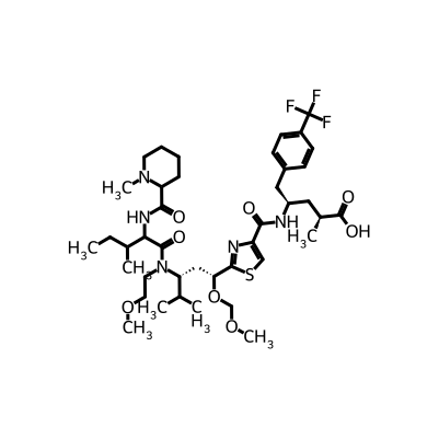 CCC(C)C(NC(=O)C1CCCCN1C)C(=O)N(CCOC)[C@H](C[C@@H](OCOC)c1nc(C(=O)N[C@@H](Cc2ccc(C(F)(F)F)cc2)C[C@H](C)C(=O)O)cs1)C(C)C